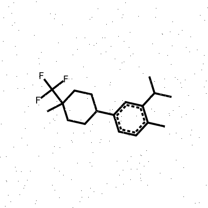 Cc1ccc(C2CCC(C)(C(F)(F)F)CC2)cc1C(C)C